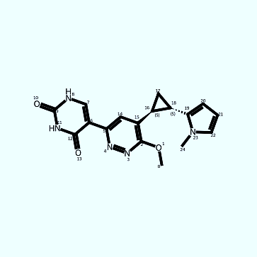 COc1nnc(-c2c[nH]c(=O)[nH]c2=O)cc1[C@H]1C[C@@H]1c1cccn1C